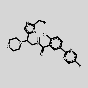 O=C(NCC(c1cnc(CF)s1)N1CCOCC1)c1cc(-c2ncc(F)cn2)ccc1Cl